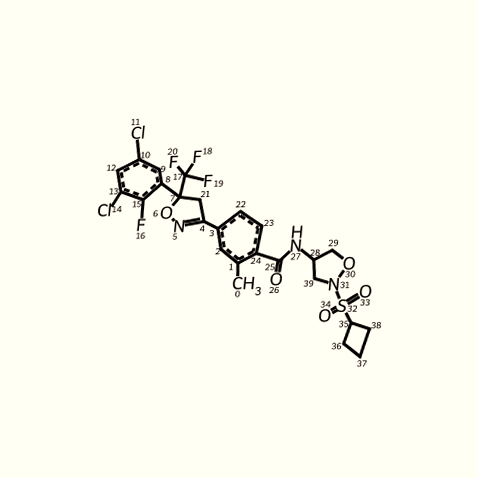 Cc1cc(C2=NOC(c3cc(Cl)cc(Cl)c3F)(C(F)(F)F)C2)ccc1C(=O)NC1CON(S(=O)(=O)C2CCC2)C1